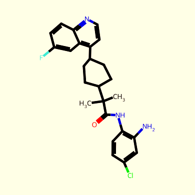 CC(C)(C(=O)Nc1ccc(Cl)cc1N)C1CCC(c2ccnc3ccc(F)cc23)CC1